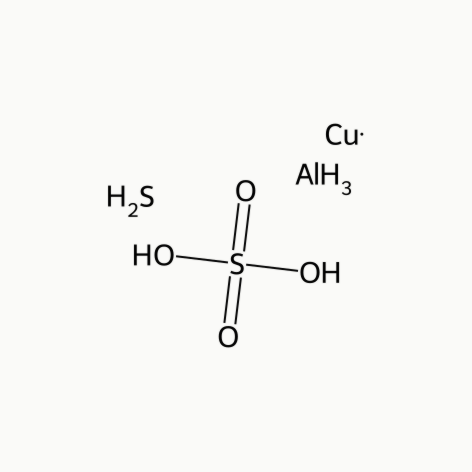 O=S(=O)(O)O.S.[AlH3].[Cu]